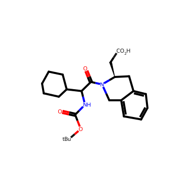 CC(C)(C)OC(=O)NC(C(=O)N1Cc2ccccc2C[C@@H]1CC(=O)O)C1CCCCC1